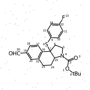 CC(C)(C)OC(=O)N1CCC2(Sc3ccc(F)cc3)c3ccc(C=O)cc3CCC12